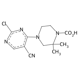 CC1(C)CN(c2nc(Cl)ncc2C#N)CCN1C(=O)O